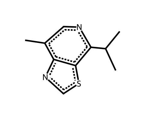 Cc1cnc(C(C)C)c2scnc12